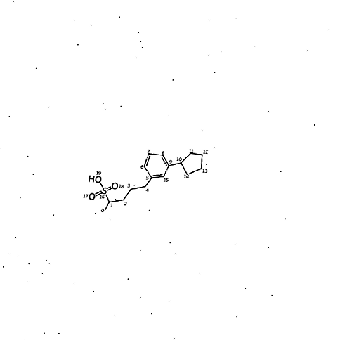 CC(CCCc1cccc(C2CCCC2)c1)S(=O)(=O)O